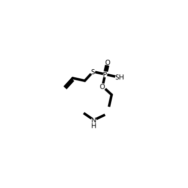 C=CCSP(=O)(S)OCC.CNC